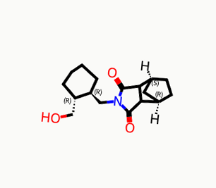 O=C1C2C(C(=O)N1C[C@@H]1CCCC[C@H]1CO)[C@H]1CC[C@@H]2C1